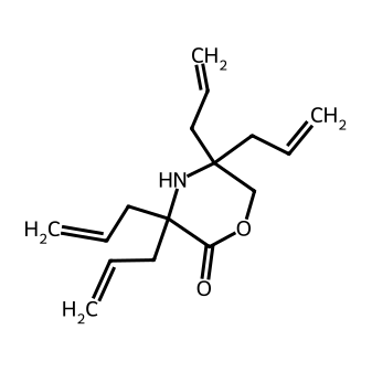 C=CCC1(CC=C)COC(=O)C(CC=C)(CC=C)N1